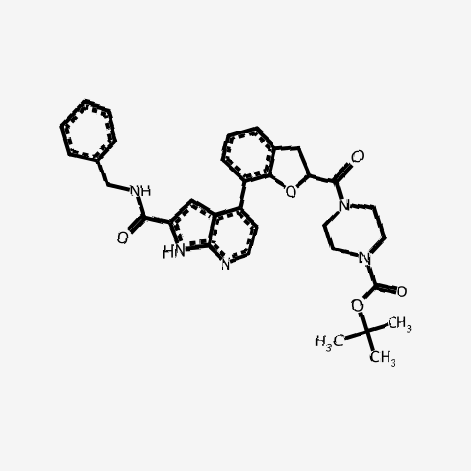 CC(C)(C)OC(=O)N1CCN(C(=O)C2Cc3cccc(-c4ccnc5[nH]c(C(=O)NCc6ccccc6)cc45)c3O2)CC1